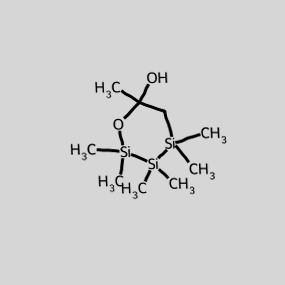 CC1(O)C[Si](C)(C)[Si](C)(C)[Si](C)(C)O1